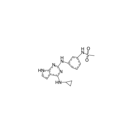 CS(=O)(=O)Nc1cccc(Nc2nc(NC3CC3)c3cc[nH]c3n2)c1